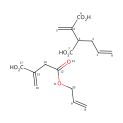 C=CCC(C(=C)C(=O)O)C(=O)O.C=CCOC(=O)CC(=C)C(=O)O